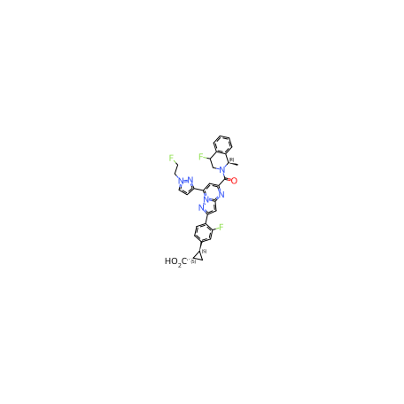 C[C@@H]1c2ccccc2C(F)CN1C(=O)c1cc(-c2ccn(CCF)n2)n2nc(-c3ccc([C@H]4C[C@@H]4C(=O)O)cc3F)cc2n1